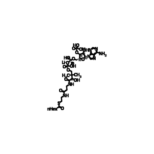 CCCCCCC(=O)SCCNC(=O)CCNC(=O)[C@H](O)C(C)(C)COP(=O)(O)OP(=O)(O)OC[C@H]1O[C@@H](n2cnc3c(N)ncnc32)[C@H](O)[C@@H]1OP(=O)(O)O.[Li]